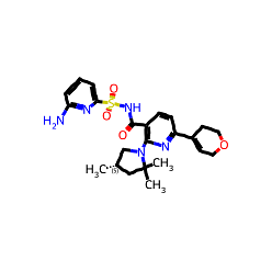 C[C@@H]1CN(c2nc(C3=CCOCC3)ccc2C(=O)NS(=O)(=O)c2cccc(N)n2)C(C)(C)C1